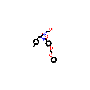 Cc1ccc(/C=C(\NC(=O)c2ccc(OCCOc3ccccc3)cc2)C(=O)NCCO)cc1